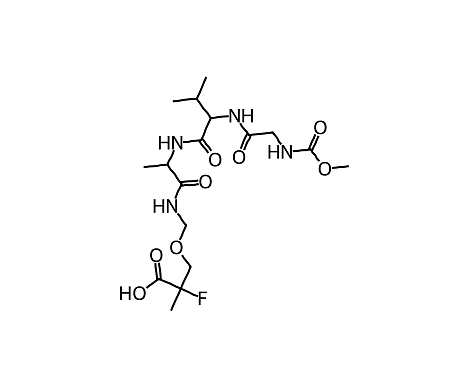 COC(=O)NCC(=O)NC(C(=O)NC(C)C(=O)NCOCC(C)(F)C(=O)O)C(C)C